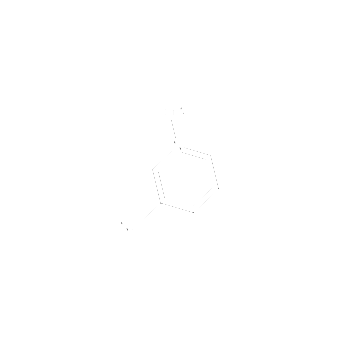 CC(=O)O[n+]1cccc(C#N)c1